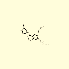 C#CC1=CC(Nc2ncnc3cc(OCCOC)c(OCCOC)cc23)CC=C1